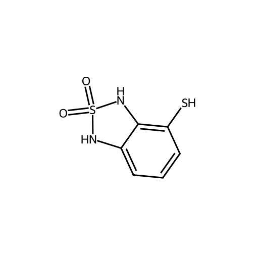 O=S1(=O)Nc2cccc(S)c2N1